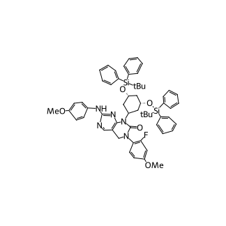 COc1ccc(Nc2ncc3c(n2)N(C2C[C@@H](O[Si](c4ccccc4)(c4ccccc4)C(C)(C)C)C[C@@H](O[Si](c4ccccc4)(c4ccccc4)C(C)(C)C)C2)C(=O)N(c2ccc(OC)cc2F)C3)cc1